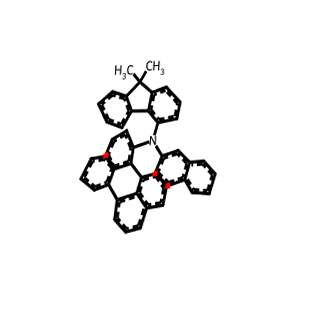 CC1(C)c2ccccc2-c2c(N(c3ccc4ccccc4c3)c3ccccc3-c3cccc4cccc(-c5ccccc5)c34)cccc21